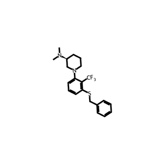 CN(C)[C@H]1CCCN(c2cccc(SCc3ccccc3)c2C(F)(F)F)C1